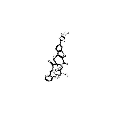 COc1cccnc1CNC(=O)C1(C)COc2c(oc3cc(-c4nc(C(=O)O)co4)ccc23)C(=O)N1CC(=O)N(C)C